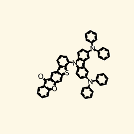 O=c1c2ccccc2oc2cc3sc4c(-n5c6ccc(N(c7ccccc7)c7ccccc7)cc6c6cc(N(c7ccccc7)c7ccccc7)ccc65)cccc4c3cc12